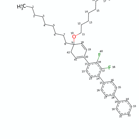 CCCCCCCCCC1(OCCCCCCC)C=CC(c2ccc(-c3ccc(-c4ccccc4)cc3)c(F)c2F)=CC1